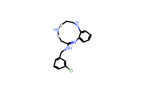 Clc1cccc(CN/C2=N/c3ccccc3NCCCNCC2)c1